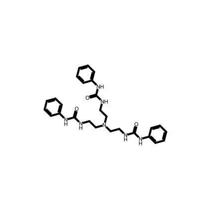 O=C(NCCN(CCNC(=O)Nc1ccccc1)CCNC(=O)Nc1ccccc1)Nc1ccccc1